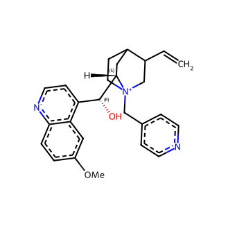 C=CC1C[N+]2(Cc3ccncc3)CCC1C[C@H]2[C@H](O)c1ccnc2ccc(OC)cc12